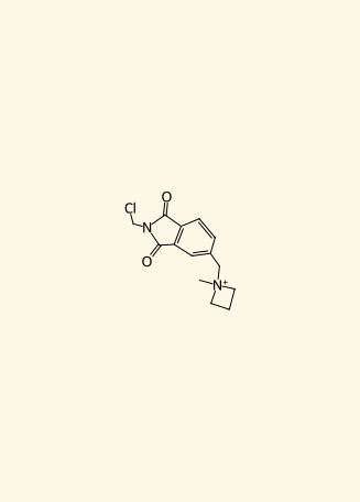 C[N+]1(Cc2ccc3c(c2)C(=O)N(CCl)C3=O)CCC1